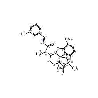 COc1ccc2c3c1OC1C(N(C)C(=O)/C=C/c4cccc(C)c4)CC[C@@]4(OC(C)=O)[C@@H](C2)N(C)CC[C@]314